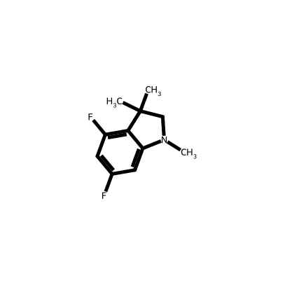 CN1CC(C)(C)c2c(F)cc(F)cc21